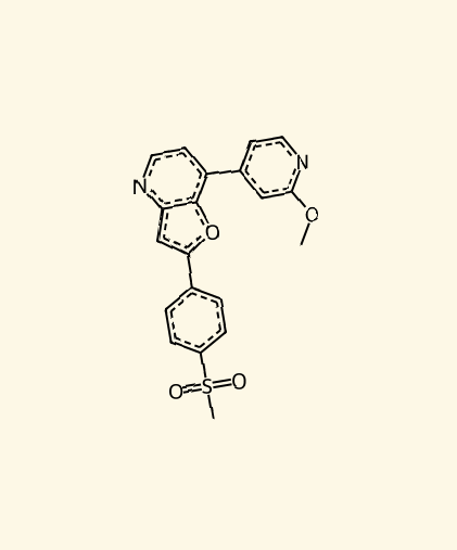 COc1cc(-c2ccnc3cc(-c4ccc(S(C)(=O)=O)cc4)oc23)ccn1